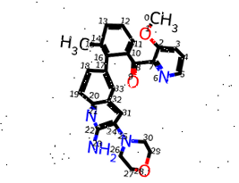 COc1cccnc1C(=O)c1cccc(C)c1-c1ccc2nc(N)c(N3CCOCC3)cc2c1